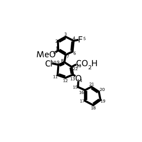 COc1ccc(F)cc1-c1c(Cl)ccc(OCc2ccccc2)c1C(=O)O